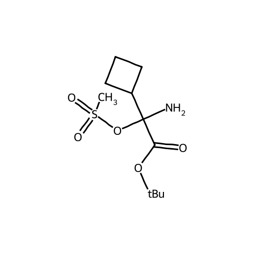 CC(C)(C)OC(=O)C(N)(OS(C)(=O)=O)C1CCC1